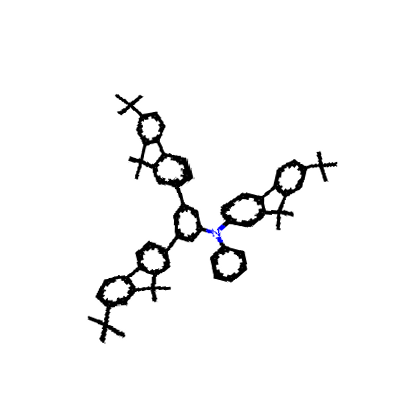 CC(C)(C)c1ccc2c(c1)C(C)(C)c1cc(-c3cc(-c4ccc5c(c4)C(C)(C)c4cc(C(C)(C)C)ccc4-5)cc(N(c4ccccc4)c4ccc5c(c4)C(C)(C)c4cc(C(C)(C)C)ccc4-5)c3)ccc1-2